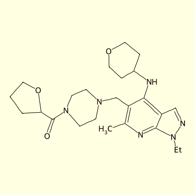 CCn1ncc2c(NC3CCOCC3)c(CN3CCN(C(=O)C4CCCO4)CC3)c(C)nc21